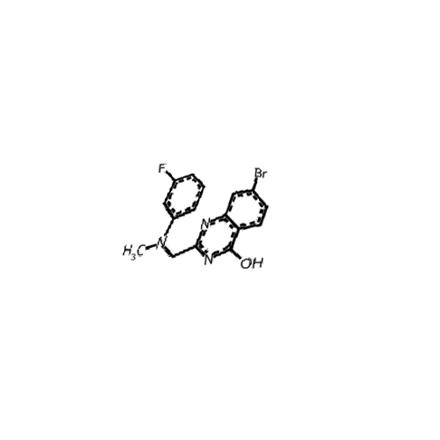 CN(Cc1nc(O)c2ccc(Br)cc2n1)c1cccc(F)c1